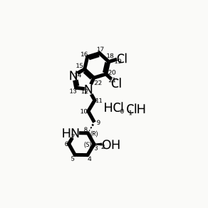 Cl.Cl.O[C@H]1CCCN[C@@H]1CCCn1cnc2ccc(Cl)c(Cl)c21